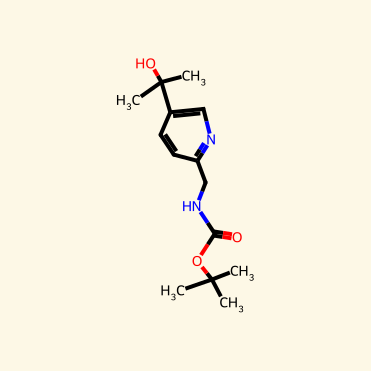 CC(C)(C)OC(=O)NCc1ccc(C(C)(C)O)cn1